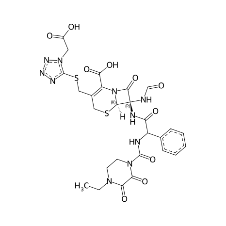 CCN1CCN(C(=O)NC(C(=O)N[C@]2(NC=O)C(=O)N3C(C(=O)O)=C(CSc4nnnn4CC(=O)O)CS[C@@H]32)c2ccccc2)C(=O)C1=O